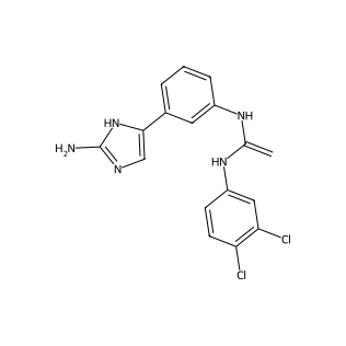 C=C(Nc1cccc(-c2cnc(N)[nH]2)c1)Nc1ccc(Cl)c(Cl)c1